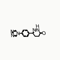 O=C1CCC(c2ccc(-n3cnnc3)cc2)=NN1